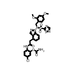 COc1ccc(CN(n2ncc3c(CC(=O)Nc4ccc(Cl)cc4OC(N)=O)cccc32)S(=O)(=O)c2ncns2)c(OC)c1